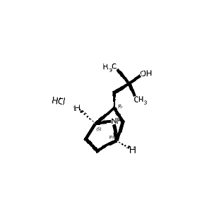 CC(C)(O)C[C@H]1C[C@H]2CC[C@@H]1N2.Cl